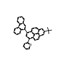 CC(C)(C)c1cc2ccc3c(-c4ccccn4)cc(-c4cc5ccccc5c5ccccc45)c4ccc(c1)c2c34